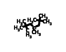 [CH3][In]([CH2]C(C)(C)C)[CH2]C(C)(C)C